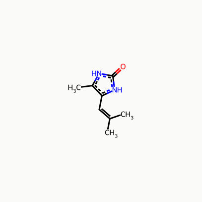 CC(C)=Cc1[nH]c(=O)[nH]c1C